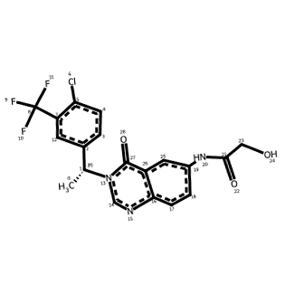 C[C@H](c1ccc(Cl)c(C(F)(F)F)c1)n1cnc2ccc(NC(=O)CO)cc2c1=O